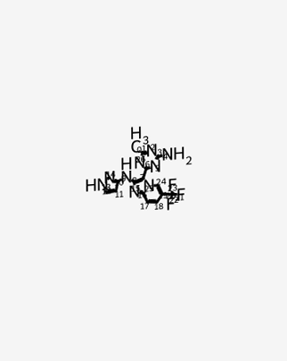 Cc1nc(N)nc(-c2c(Nc3cc[nH]n3)nc3ccc(C(F)(F)F)cn23)n1